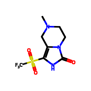 CN1CCn2c(c(S(=O)(=O)C(F)(F)F)[nH]c2=O)C1